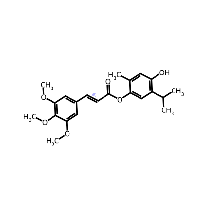 COc1cc(/C=C/C(=O)Oc2cc(C(C)C)c(O)cc2C)cc(OC)c1OC